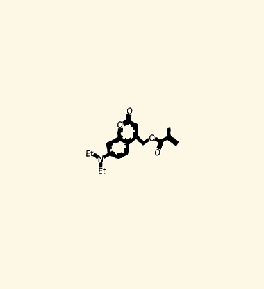 C=C(C)C(=O)OCc1cc(=O)oc2cc(N(CC)CC)ccc12